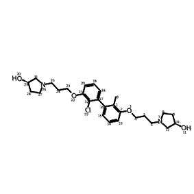 Cc1c(OCCCN2CC[C@@H](O)C2)cccc1-c1cccc(OCCCN2CC[C@@H](O)C2)c1Cl